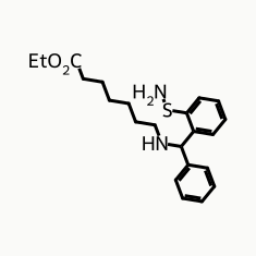 CCOC(=O)CCCCCCNC(c1ccccc1)c1ccccc1SN